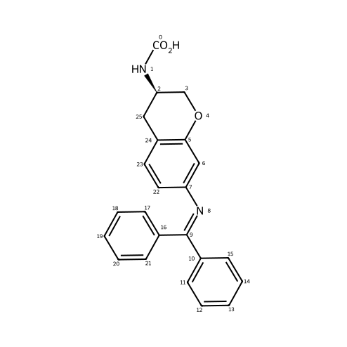 O=C(O)N[C@H]1COc2cc(N=C(c3ccccc3)c3ccccc3)ccc2C1